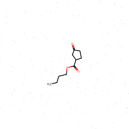 CCCCOC(=O)C1CCC(=O)C1